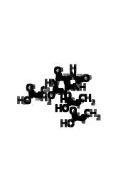 C=CC(=O)O.C=CC(=O)O.C=CC(=O)O.O=c1[nH]c(=O)c2[nH]c(=O)[nH]c2[nH]1